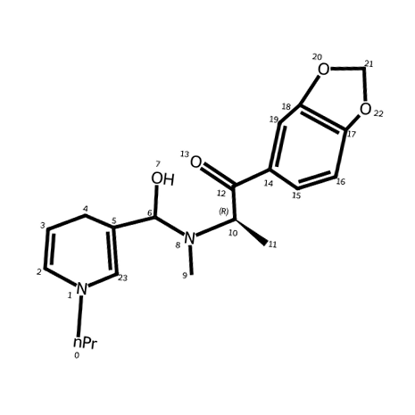 CCCN1C=CCC(C(O)N(C)[C@H](C)C(=O)c2ccc3c(c2)OCO3)=C1